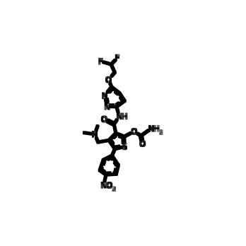 CN(C)Cc1c(-c2ccc([N+](=O)[O-])cc2)sc(OC(N)=O)c1C(=O)Nc1ccc(OCC(F)F)nn1